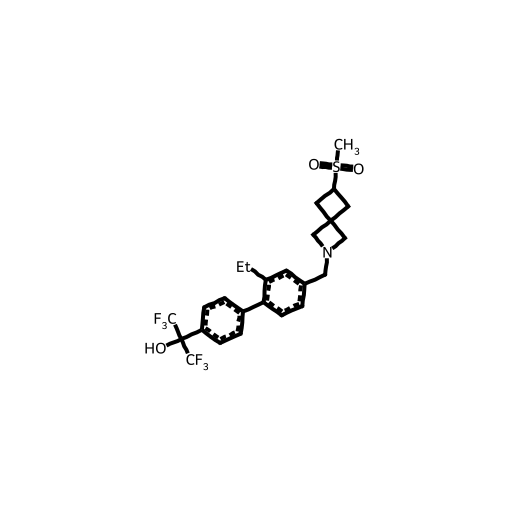 CCc1cc(CN2CC3(CC(S(C)(=O)=O)C3)C2)ccc1-c1ccc(C(O)(C(F)(F)F)C(F)(F)F)cc1